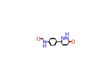 O=CNc1ccc(-c2ccc(=O)[nH]n2)cc1